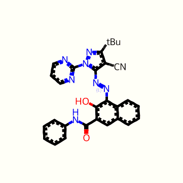 CC(C)(C)c1nn(-c2ncccn2)c(/N=N/c2c(O)c(C(=O)Nc3ccccc3)cc3ccccc23)c1C#N